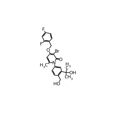 Cc1cc(OCc2ccc(F)cc2F)c(Br)c(=O)n1-c1ccc(CO)c(C(C)(C)O)c1